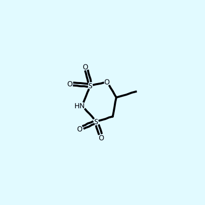 CC1CS(=O)(=O)NS(=O)(=O)O1